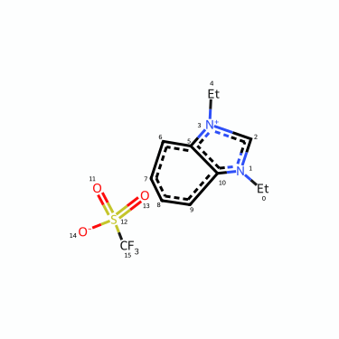 CCn1c[n+](CC)c2ccccc21.O=S(=O)([O-])C(F)(F)F